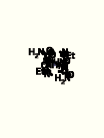 CCn1nc(C)cc1C(=O)Nc1nc2cc(C(N)=O)cc(C)c2n1C/C=C/Cn1c(NC(=O)c2cc(C)nn2CC)nc2cc(CN)c3c(c21)OCCO3